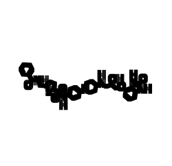 O=C(NCc1ccc(S(=O)(=O)Nc2ccc(N3CCC(NC[C@H](O)COc4cccc5[nH]c(=O)[nH]c45)CC3)cc2)s1)c1ccccc1